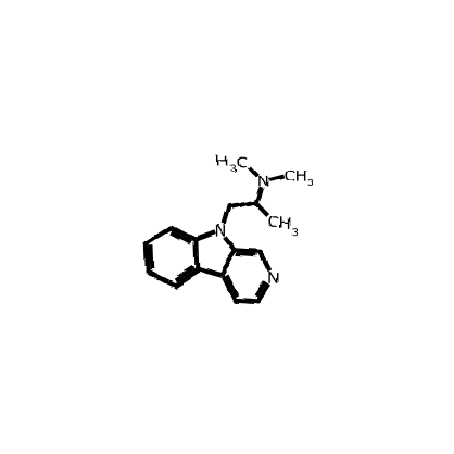 CC(Cn1c2ccccc2c2ccncc21)N(C)C